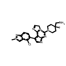 Cn1cc2c(Cl)c(-c3cnc4nc(N5CCC(F)(CN)CC5)n5c(c3-4)N=CC5)ccc2n1